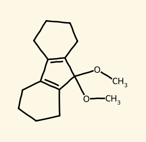 COC1(OC)C2=C(CCCC2)C2=C1CCCC2